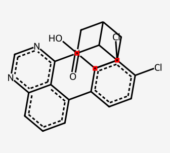 O=C(O)C1C2CC1CN(c1ncnc3cccc(-c4ccc(Cl)c(Cl)c4)c13)C2